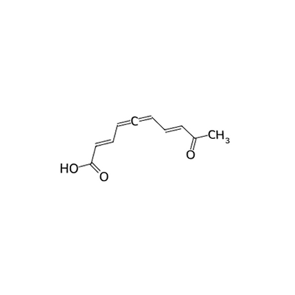 CC(=O)C=CC=C=CC=CC(=O)O